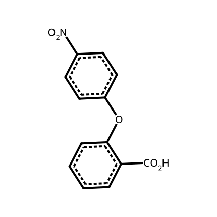 O=C(O)c1ccccc1Oc1ccc([N+](=O)[O-])cc1